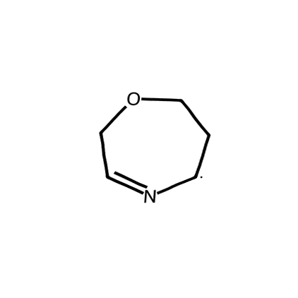 [CH]1CCOCC=N1